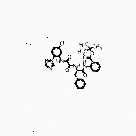 CC(C)(C)OC(=O)c1ccccc1NC(=O)C(Cc1ccccc1)NC(=O)C(=O)Nc1cc(Cl)ccc1-n1cncn1